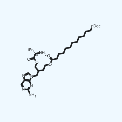 CCCCCCCCCCCCCCCCCCCCCC(=O)OCCC(COC(=O)[C@@H](N)C(C)C)Cn1cnc2cnc(N)nc21